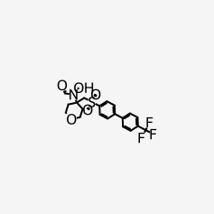 O=CN(O)C1(CS(=O)(=O)c2ccc(-c3ccc(C(F)(F)F)cc3)cc2)CCOCC1